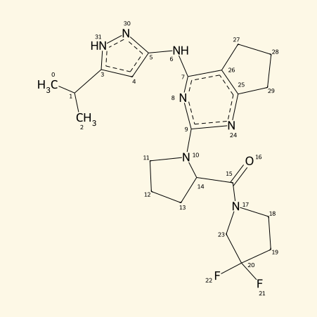 CC(C)c1cc(Nc2nc(N3CCCC3C(=O)N3CCC(F)(F)C3)nc3c2CCC3)n[nH]1